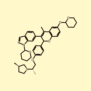 CC1=C(c2ccc3cnn(C4CCCCO4)c3c2)C(c2ccc(OC[C@H](C)N3CC[C@@H](C)C3)cc2)Oc2ccc(OC3CCCCO3)cc21